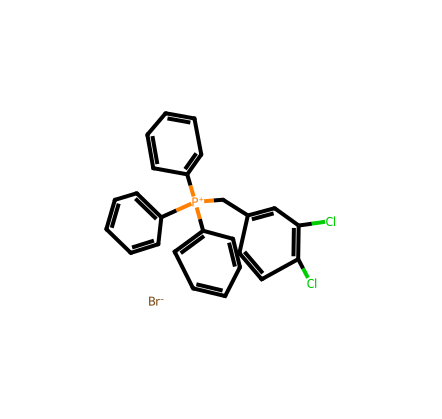 Clc1ccc(C[P+](c2ccccc2)(c2ccccc2)c2ccccc2)cc1Cl.[Br-]